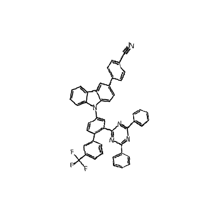 N#Cc1ccc(-c2ccc3c(c2)c2ccccc2n3-c2ccc(-c3cccc(C(F)(F)F)c3)c(-c3nc(-c4ccccc4)nc(-c4ccccc4)n3)c2)cc1